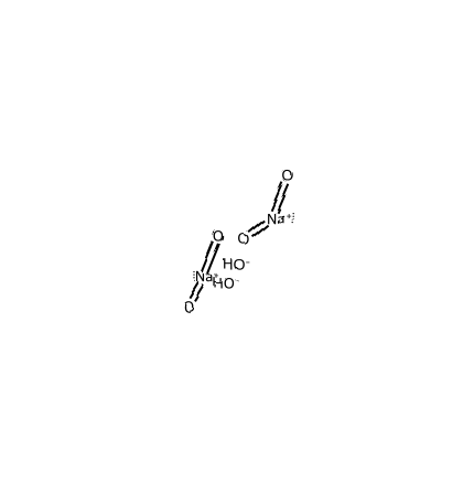 [OH-].[OH-].[O]=[Na+]=[O].[O]=[Na+]=[O]